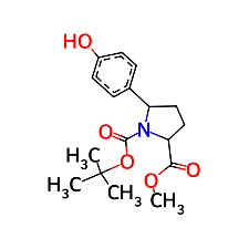 COC(=O)C1CCC(c2ccc(O)cc2)N1C(=O)OC(C)(C)C